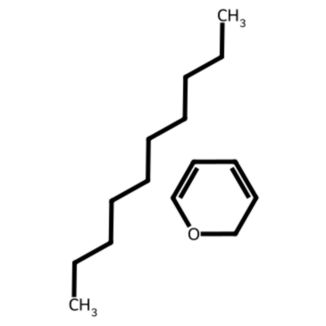 C1=CCOC=C1.CCCCCCCCCC